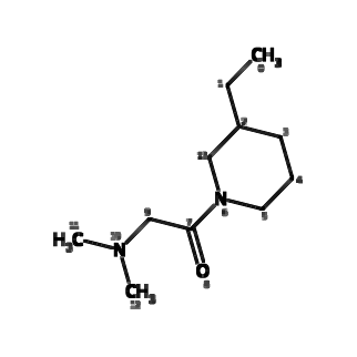 CCC1CCCN(C(=O)CN(C)C)C1